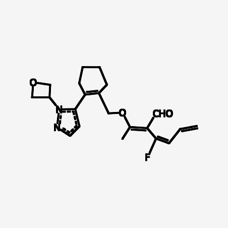 C=C/C=C(F)\C(C=O)=C(/C)OCC1=C(c2ccnn2C2COC2)CCCC1